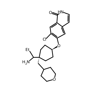 CCC(N)[C@]1(CC2CCOCC2)CC[C@H](Oc2cc3cc[nH]c(=O)c3cc2Cl)CC1